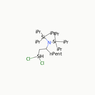 CCCCCC(C[SiH](Cl)Cl)N([Si](C(C)C)(C(C)C)C(C)C)[Si](C(C)C)(C(C)C)C(C)C